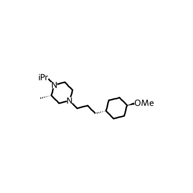 CO[C@H]1CC[C@H](CCCN2CCN(C(C)C)[C@@H](C)C2)CC1